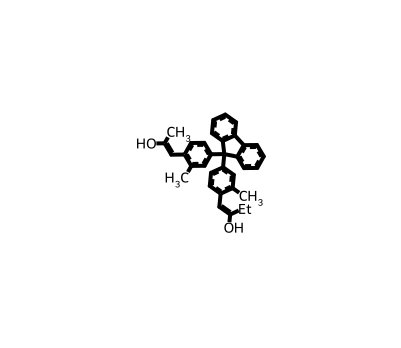 CC/C(O)=C\c1ccc(C2(c3ccc(/C=C(\C)O)c(C)c3)c3ccccc3-c3ccccc32)cc1C